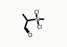 CC(C=O)[Si](C)(Cl)Cl